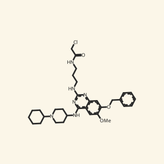 COc1cc2c(NC3CCN(C4CCCCC4)CC3)nc(NCCCNC(=O)CCl)nc2cc1OCc1ccccc1